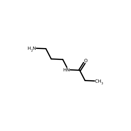 CCC(=O)NCCCN